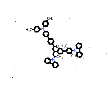 CCC(CC(CC(C)n1c2ccccc2c2ccccc21)c1ccc(-c2cc(C)c(-n3c4ccccc4c4ccccc43)cc2C)cc1)c1ccc(-c2ccc(N(c3ccc(C)cc3)c3ccc(C)cc3)cc2)cc1